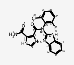 NC(=O)c1[nH]cnc1C(=O)N(c1nc2ccccc2[nH]1)c1c(F)cccc1Cl